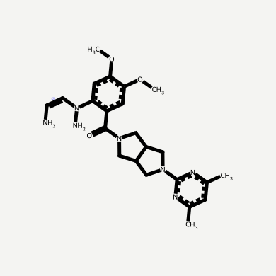 COc1cc(C(=O)N2CC3CN(c4nc(C)cc(C)n4)CC3C2)c(N(N)/C=C\N)cc1OC